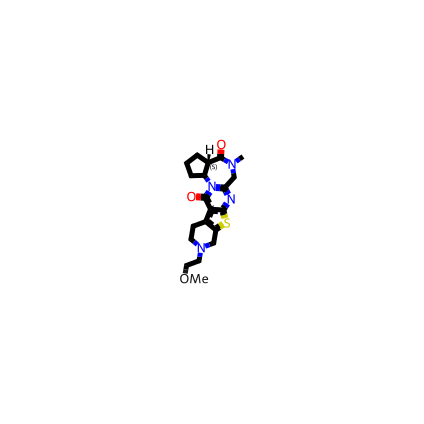 COCCN1CCc2c(sc3nc4n(c(=O)c23)C2CCC[C@@H]2C(=O)N(C)C4)C1